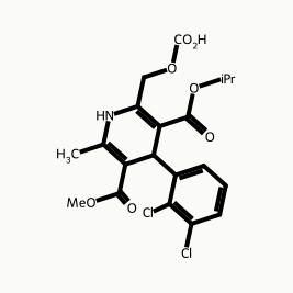 COC(=O)C1=C(C)NC(COC(=O)O)=C(C(=O)OC(C)C)C1c1cccc(Cl)c1Cl